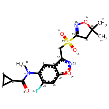 CN(C(=O)C1CC1)c1cc2c(CS(=O)(=O)C3=NOC(C)(C)C3)noc2cc1F